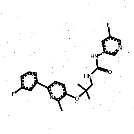 Cc1nc(-c2cccc(F)c2)ccc1OC(C)(C)CNC(=O)Nc1cncc(F)c1